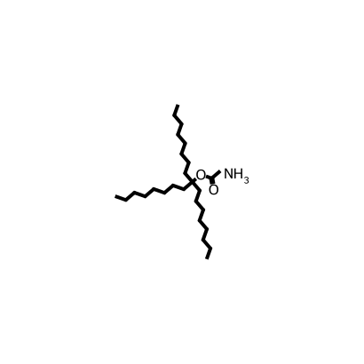 CCCCCCCCC(CCCCCCCC)(CCCCCCCC)OC(C)=O.N